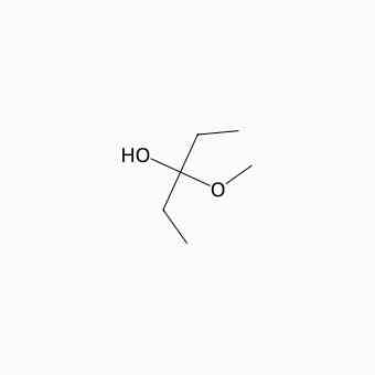 CCC(O)(CC)OC